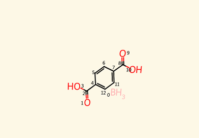 B.O=C(O)c1ccc(C(=O)O)cc1